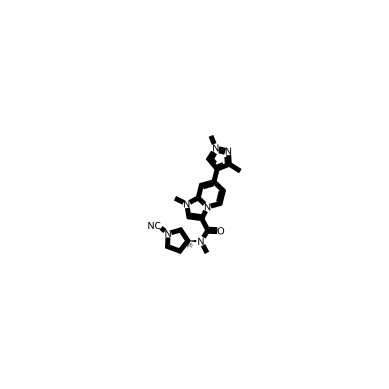 Cc1nn(C)cc1C1=CC2N(C)C=C(C(=O)N(C)[C@@H]3CCN(C#N)C3)N2C=C1